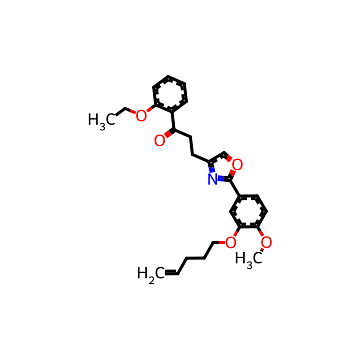 C=CCCCOc1cc(-c2nc(CCC(=O)c3ccccc3OCC)co2)ccc1OC